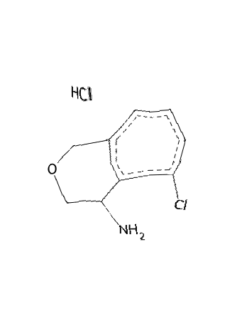 Cl.NC1COCc2cccc(Cl)c21